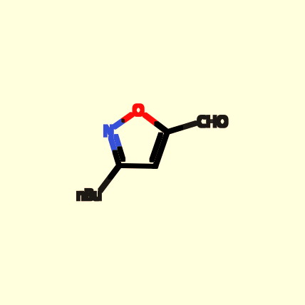 CCCCc1cc(C=O)on1